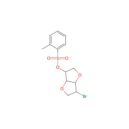 Cc1ccccc1S(=O)(=O)OC1COC2C(Br)COC12